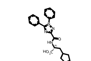 O=C(N[C@H](CC1CCCC1)C(=O)O)c1nc(-c2ccccc2)n(-c2ccccc2)n1